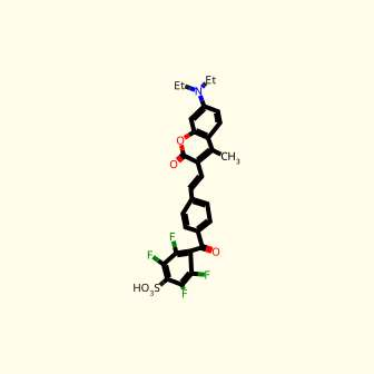 CCN(CC)c1ccc2c(C)c(/C=C/c3ccc(C(=O)c4c(F)c(F)c(S(=O)(=O)O)c(F)c4F)cc3)c(=O)oc2c1